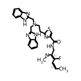 C=N/C(CNC(=O)c1csc(CCN(Cc2nc3ccccc3[nH]2)Cc2nc3ccccc3[nH]2)n1)=C(F)\C=C/C